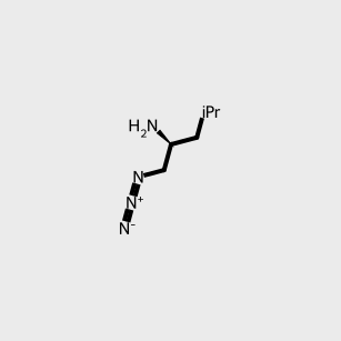 CC(C)C[C@H](N)CN=[N+]=[N-]